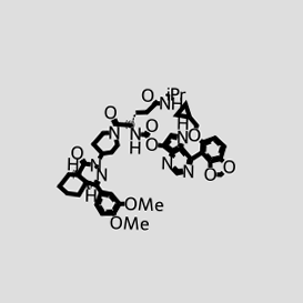 COc1ccc(C2=NN(C3CCN(C(=O)[C@H](CCC(=O)NC(C)C)NC(=O)Oc4c[nH]c5c(-c6c(OCC7CC7)ccc7c6OCO7)ncnc45)CC3)C(=O)[C@@H]3CCCC[C@H]23)cc1OC